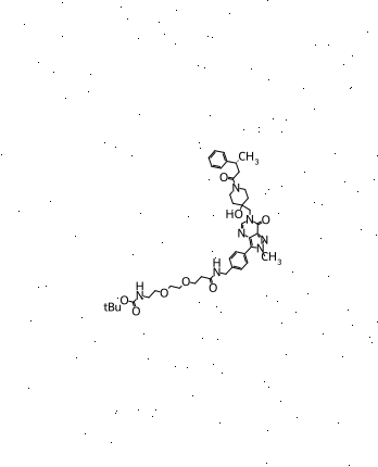 C[C@H](CC(=O)N1CCC(O)(Cn2cnc3c(-c4ccc(CNC(=O)CCOCCOCCNC(=O)OC(C)(C)C)cc4)n(C)nc3c2=O)CC1)c1ccccc1